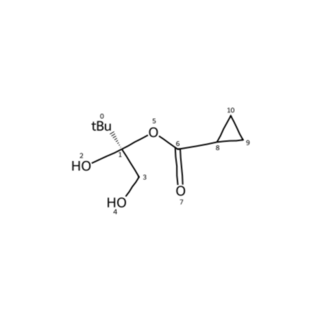 CC(C)(C)[C@@](O)(CO)OC(=O)C1CC1